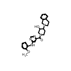 COc1ccccc1Nc1cc(C(=O)N2CCC(N3CCc4ccccc4C3)C(O)C2)ncn1